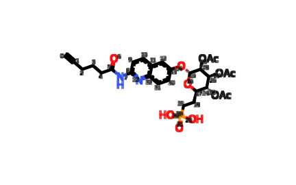 C#CCCCC(=O)Nc1ccc2cc(O[C@H]3O[C@H](CCP(=O)(O)O)[C@@H](OC(C)=O)[C@H](OC(C)=O)[C@@H]3OC(C)=O)ccc2n1